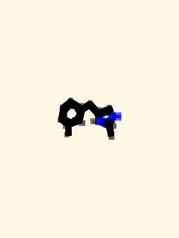 Cc1cccc(Cc2c[nH]c(C)n2)c1